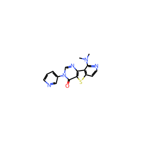 CN(C)c1nccc2sc3c(=O)n(-c4cccnc4)cnc3c12